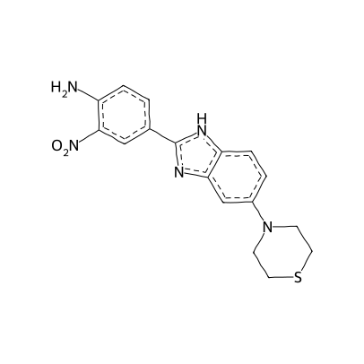 Nc1ccc(-c2nc3cc(N4CCSCC4)ccc3[nH]2)cc1[N+](=O)[O-]